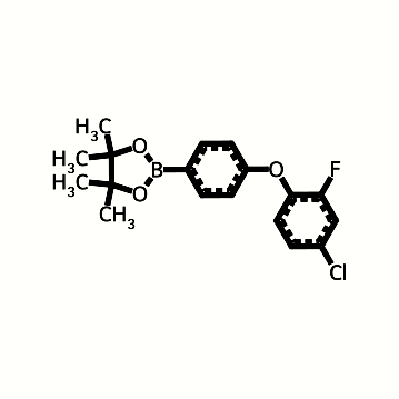 CC1(C)OB(c2ccc(Oc3ccc(Cl)cc3F)cc2)OC1(C)C